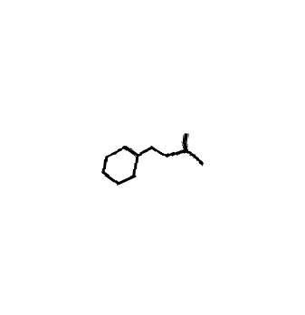 [CH2]C(C)CCC1CCCCC1